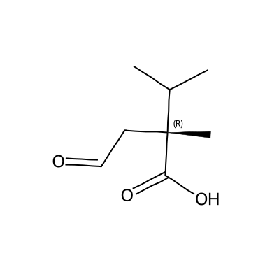 CC(C)[C@@](C)(CC=O)C(=O)O